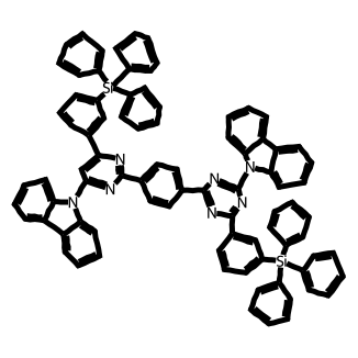 c1ccc([Si](c2ccccc2)(c2ccccc2)c2cccc(-c3cc(-n4c5ccccc5c5ccccc54)nc(-c4ccc(-c5nc(-c6cccc([Si](c7ccccc7)(c7ccccc7)c7ccccc7)c6)nc(-n6c7ccccc7c7ccccc76)n5)cc4)n3)c2)cc1